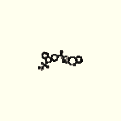 CS(=O)(=O)N1CC2(CCN(C(=O)[C@H](N)C[C@H]3CCOc4ccccc4C3)CC2)c2ccccc21